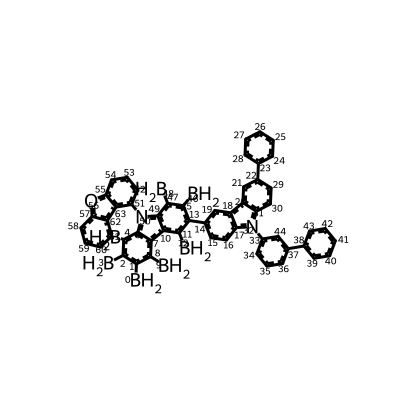 Bc1c(B)c(B)c2c(c1B)c1c(B)c(-c3ccc4c(c3)c3cc(-c5ccccc5)ccc3n4-c3cccc(-c4ccccc4)c3)c(B)c(B)c1n2-c1cccc2oc3ccccc3c12